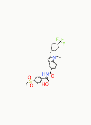 CCn1c(C[C@H]2CC[C@H](C(F)(F)F)CC2)cc2cc(C(=O)N[C@@H](CO)c3ccc(S(=O)(=O)CC)cc3)ccc21